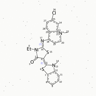 CCN1C(=O)/C(=C2\Sc3ccccc3N2C)S/C1=N\c1cc[n+](C)c2cc(Cl)ccc12